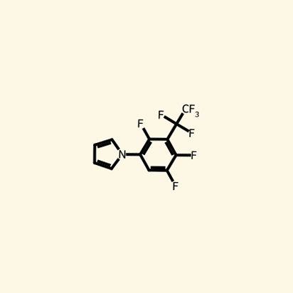 Fc1cc(-n2cccc2)c(F)c(C(F)(F)C(F)(F)F)c1F